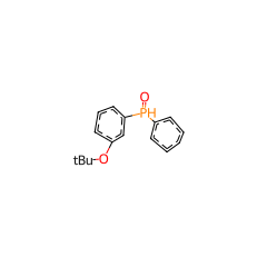 CC(C)(C)Oc1cccc([PH](=O)c2ccccc2)c1